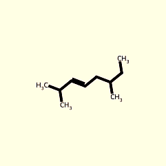 CCC(C)CC=CC(C)C